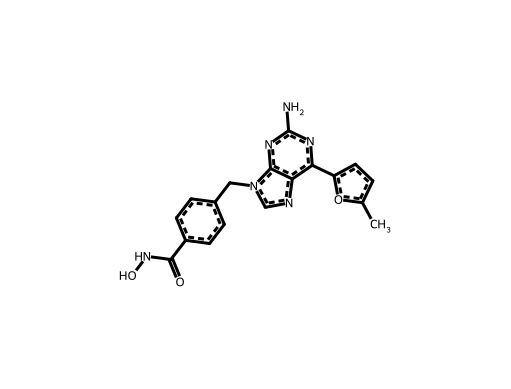 Cc1ccc(-c2nc(N)nc3c2ncn3Cc2ccc(C(=O)NO)cc2)o1